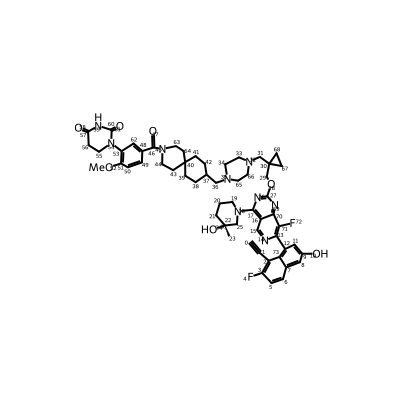 C#Cc1c(F)ccc2cc(O)cc(-c3ncc4c(N5CCC[C@@](C)(O)C5)nc(OCC5(CN6CCN(CC7CCC8(CC7)CCN(C(=O)c7ccc(OC)c(N9CCC(=O)NC9=O)c7)CC8)CC6)CC5)nc4c3F)c12